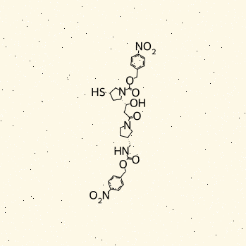 O=C(NC[C@@H]1CCN(C(=O)CC(O)[C@@H]2C[C@H](S)CN2C(=O)OCc2ccc([N+](=O)[O-])cc2)C1)OCc1ccc([N+](=O)[O-])cc1